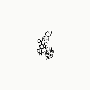 Cn1c(=O)c(C(=O)NCC2CCOCC2)cc2cnnc(OCC3(S(=O)(=O)C4CC4)CC3)c21